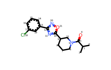 CC(C)C(=O)N1CCCC(c2nc(-c3cccc(Cl)c3)no2)C1